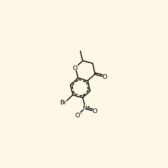 CC1CC(=O)c2cc([N+](=O)[O-])c(Br)cc2O1